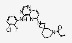 C=CC(=O)N1CCCC2(C1)CN(c1ccc3ncnc(Nc4cccc(Cl)c4F)c3n1)C2